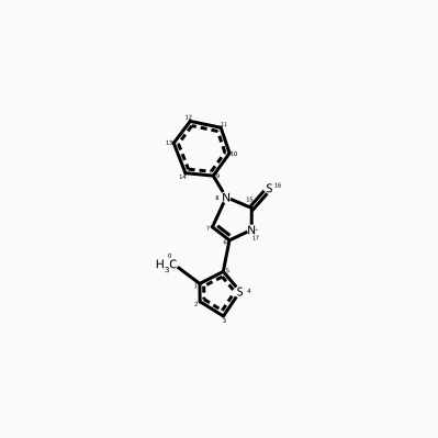 Cc1ccsc1C1=CN(c2ccccc2)C(=S)[N]1